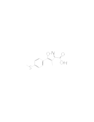 CSc1ccc(-c2onc(C(=O)O)c2C)cc1